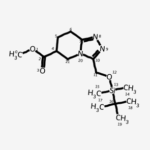 COC(=O)C1CCc2nnc(CO[Si](C)(C)C(C)(C)C)n2C1